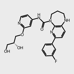 O=C(Nc1ccnc(OC[C@H](O)CO)c1)N1CCCNc2ccc(-c3cccc(F)c3)nc21